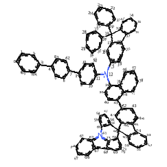 c1ccc(-c2ccc(-c3ccc(N(c4ccc5c(c4)C(c4ccccc4)(c4ccccc4)c4ccccc4-5)c4ccc(-c5ccc6c(c5)C5(c7ccccc7-6)c6ccccc6-n6c7ccccc7c7cccc5c76)c5ccccc45)cc3)cc2)cc1